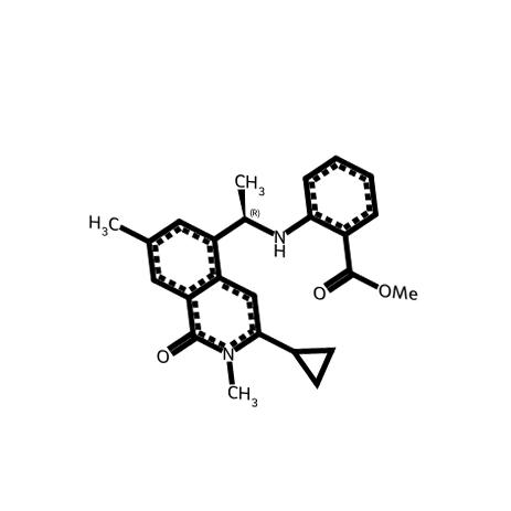 COC(=O)c1ccccc1N[C@H](C)c1cc(C)cc2c(=O)n(C)c(C3CC3)cc12